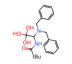 CC(C)(C)C(=O)NC(N(Cc1ccccc1)Cc1ccccc1)C(O)(O)O